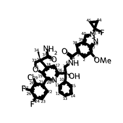 COc1cc(C(=O)NC[C@@](O)(c2ccccc2)c2cc3c(c(-c4ccc(F)c(F)c4Cl)n2)OC[C@]3(C)C(N)=O)cc2cn(C3(F)CC3)nc12